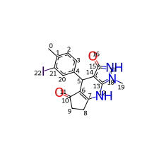 Cc1ccc(C2C3=C(CCC3=O)Nc3c2c(=O)[nH]n3C)cc1I